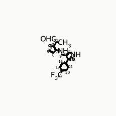 CC(C=O)c1sccc1NCc1c[nH]nc1-c1ccc(C(F)(F)F)cc1